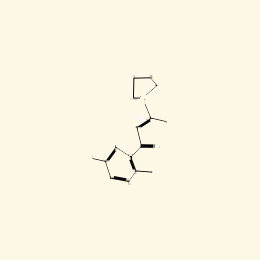 C/C(=C\C(=N)c1cc(C)ccc1C)N1CCCC1